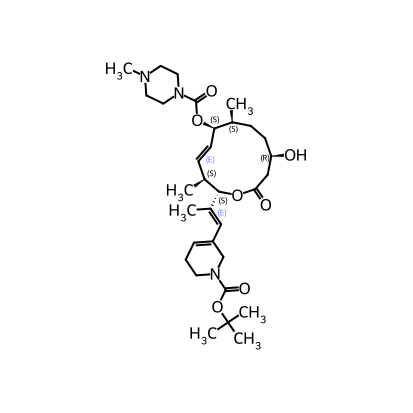 C/C(=C\C1=CCCN(C(=O)OC(C)(C)C)C1)[C@H]1OC(=O)C[C@H](O)CC[C@H](C)[C@H](OC(=O)N2CCN(C)CC2)/C=C/[C@@H]1C